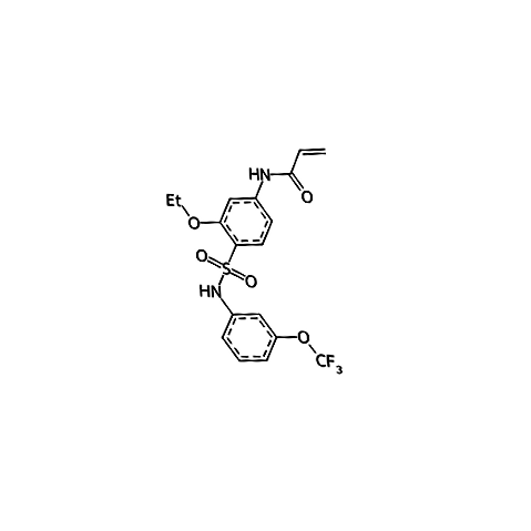 C=CC(=O)Nc1ccc(S(=O)(=O)Nc2cccc(OC(F)(F)F)c2)c(OCC)c1